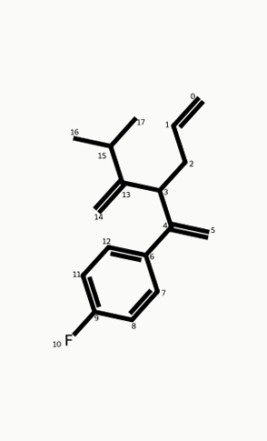 C=CCC(C(=C)c1ccc(F)cc1)C(=C)C(C)C